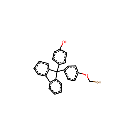 Oc1ccc(C2(c3ccc(OCS)cc3)c3ccccc3-c3ccccc32)cc1